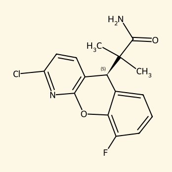 CC(C)(C(N)=O)[C@@H]1c2ccc(Cl)nc2Oc2c(F)cccc21